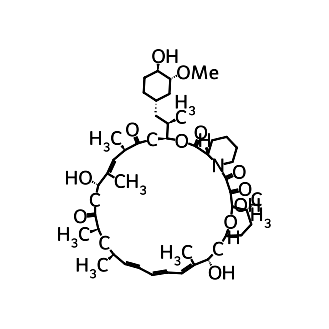 CO[C@@H]1C[C@H](C[C@@H](C)[C@@H]2CC(=O)[C@H](C)/C=C(\C)[C@@H](O)CC(=O)[C@H](C)C[C@H](C)/C=C/C=C/C=C(\C)[C@@H](O)C[C@@H]3CC[C@@H](C)[C@@](O)(O3)C(=O)C(=O)N3CCCC[C@H]3C(=O)O2)CC[C@H]1O